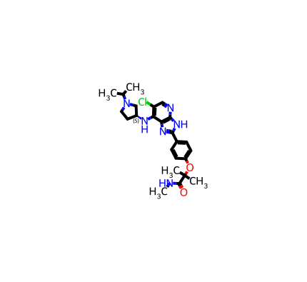 CNC(=O)C(C)(C)Oc1ccc(-c2nc3c(N[C@H]4CCN(C(C)C)C4)c(Cl)cnc3[nH]2)cc1